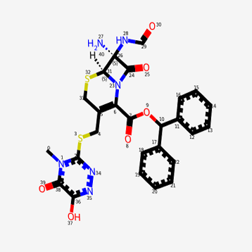 Cn1c(SCC2=C(C(=O)OC(c3ccccc3)c3ccccc3)N3C(=O)[C@](N)(NC=O)[C@@H]3SC2)nnc(O)c1=O